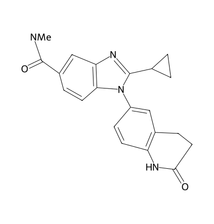 CNC(=O)c1ccc2c(c1)nc(C1CC1)n2-c1ccc2c(c1)CCC(=O)N2